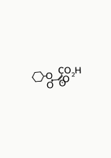 O=C(O)c1ooc1C(=O)OC1CCCCC1